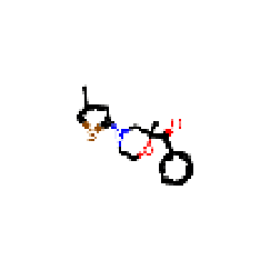 Cc1csc(N2CCOC(C)(C(=O)c3ccccc3)C2)c1